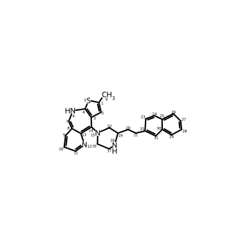 Cc1cc2c(s1)NC=c1cccnc1=C2N1CCNC(CCc2ccc3ccccc3c2)C1